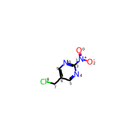 O=[N+]([O-])c1ncc(CCl)cn1